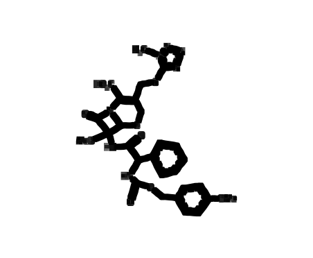 COc1ccc(COC(=O)NC(C(=O)NC2(OC)C(=O)N3C(C(=O)O)=C(CSc4nnnn4C)CSC32)c2ccccc2)cc1